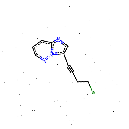 BrCCC#Cc1cnc2cccnn12